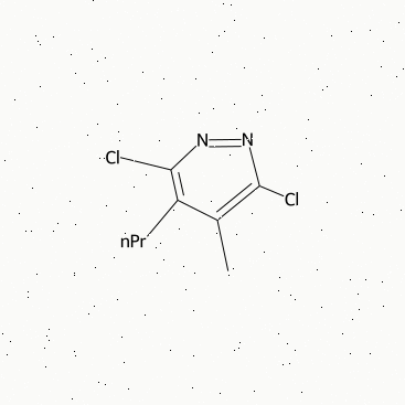 CCCc1c(Cl)nnc(Cl)c1C